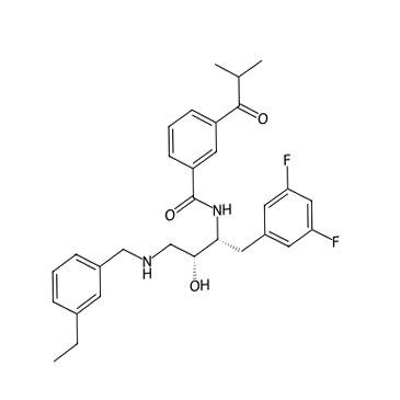 CCc1cccc(CNC[C@@H](O)[C@@H](Cc2cc(F)cc(F)c2)NC(=O)c2cccc(C(=O)C(C)C)c2)c1